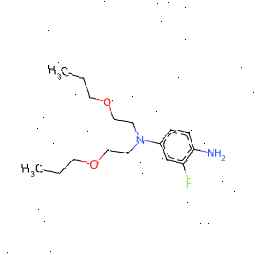 CCCOCCN(CCOCCC)c1ccc(N)c(F)c1